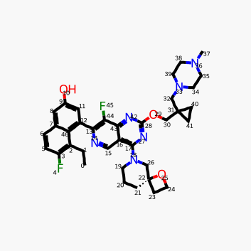 CCc1c(F)ccc2cc(O)cc(-c3ncc4c(N5CCC[C@]6(CCO6)C5)nc(OCC5(CN6CCN(C)CC6)CC5)nc4c3F)c12